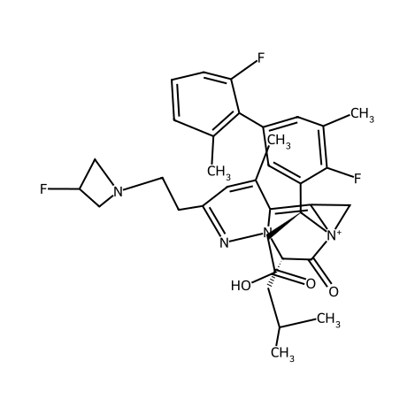 CC1=CC(CCN2CC(F)C2)=NN2C1=C1C[N+]1([C@@H](CC(=O)O)c1cc(-c3c(C)cccc3F)cc(C)c1F)C(=O)[C@@H]2CC(C)C